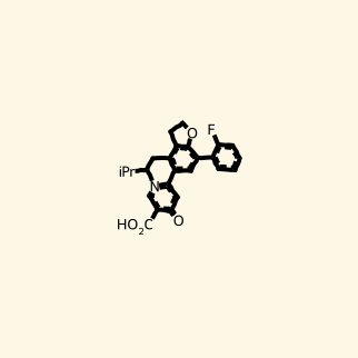 CC(C)C1Cc2c(cc(-c3ccccc3F)c3c2CCO3)-c2cc(=O)c(C(=O)O)cn21